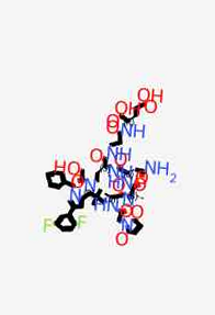 C[C@H](NC(=O)CN1C(=O)C=CC1=O)C(=O)N(C)[C@@H](C)C(=O)N[C@@H](CC(N)=O)C(=O)N[C@@H](CCN(C(=O)CO)[C@@H](c1cc(-c2cc(F)ccc2F)cn1Cc1ccccc1)C(C)(C)C)C(=O)NCCC(=O)N[C@H](CCC(=O)O)C(=O)O